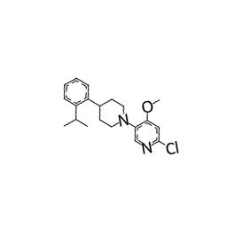 COc1cc(Cl)ncc1N1CCC(c2ccccc2C(C)C)CC1